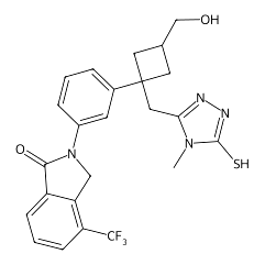 Cn1c(S)nnc1CC1(c2cccc(N3Cc4c(cccc4C(F)(F)F)C3=O)c2)CC(CO)C1